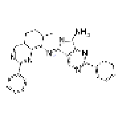 CC1CCC2C=NC(c3ccccc3)=NC2=C1/N=C1\N=C(N)c2nc(C3=CC=CCC3)ncc21